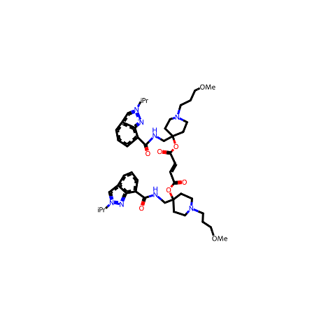 COCCCN1CCC(CNC(=O)c2cccc3cn(C(C)C)nc23)(OC(=O)/C=C/C(=O)OC2(CNC(=O)c3cccc4cn(C(C)C)nc34)CCN(CCCOC)CC2)CC1